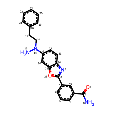 NC(=O)c1cccc(-c2nc3ccc(N(N)CCc4ccccc4)cc3o2)c1